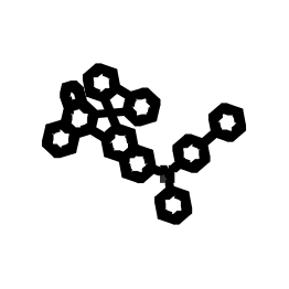 c1ccc(-c2ccc(N(c3ccccc3)c3ccc4cc5c(cc4c3)C3(c4ccccc4-c4ccccc43)c3c-5c4ccccc4c4ccccc34)cc2)cc1